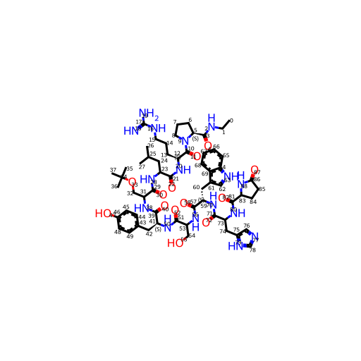 CCNC(=O)[C@@H]1CCCN1C(=O)[C@H](CCCNC(=N)N)NC(=O)C(CC(C)C)NC(=O)C(COC(C)(C)C)NC(=O)[C@H](Cc1ccc(O)cc1)NC(=O)C(CO)NC(=O)[C@H](Cc1c[nH]c2ccccc12)NC(=O)C(Cc1cnc[nH]1)NC(=O)C1CCC(=O)N1